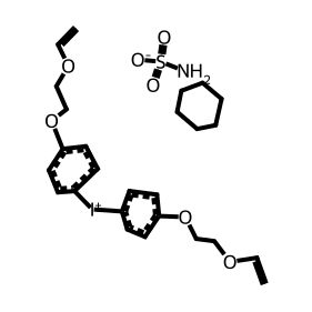 C1CCCCC1.C=COCCOc1ccc([I+]c2ccc(OCCOC=C)cc2)cc1.NS(=O)(=O)[O-]